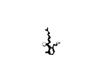 COCCC1=CCC=C(C)C1C(=O)CCCCCC(C)C